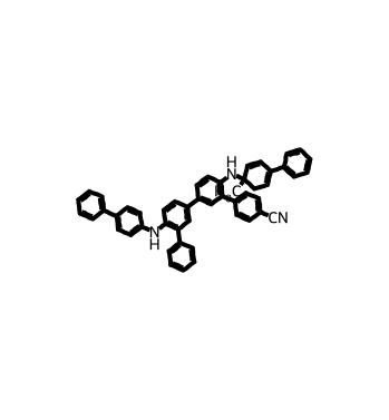 CC1(Nc2ccc(-c3ccc(Nc4ccc(-c5ccccc5)cc4)c(-c4ccccc4)c3)cc2-c2ccc(C#N)cc2)C=CC(c2ccccc2)=CC1